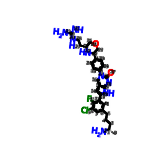 C[C@H](N)CCCc1cc(Cl)c(F)c(-c2cc3cn(-c4ccc([C@@H]5COC[C@H](CCNC(=N)N)N5)cc4)c(=O)nc3[nH]2)c1